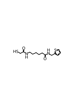 O=C(CS)NCCCCCC(=O)NCc1cccs1